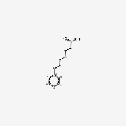 O=S(O)CCCCCCc1ccccc1